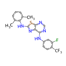 Cc1cccc(C)c1Nc1nc2c(Nc3ccc(C(F)(F)F)c(F)c3)ncnc2s1